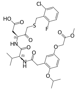 COC(=O)COc1ccc(OC(C)C)c(CC(=O)N[C@H](C(=O)N[C@@H](CC(=O)O)C(=O)CSCc2c(F)cccc2Cl)C(C)C)c1